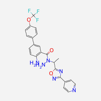 CC(c1nc(-c2ccncc2)no1)N(N)C(=O)c1cc(-c2ccc(OC(F)(F)F)cc2)ccc1N